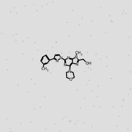 Cc1cccc(-c2ccn(-c3nc(N4CCOCC4)c4nc(CO)n(C)c4n3)n2)c1